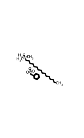 CCCCCCCCCCCCCCCC[N+](C)(C)C.O=S(=O)([O-])Cc1ccccc1